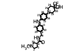 CN1CCC(C(=O)NCc2ccc(Nc3ccc(N4CCC(O)(C(F)(F)F)CC4)cc3)cc2)C1